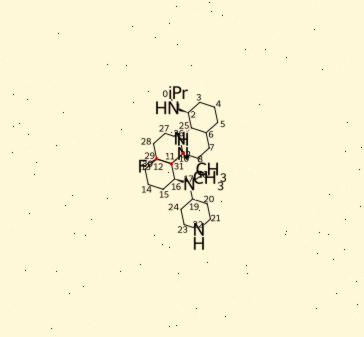 CC(C)N[C@H]1CCCC(CC(C)N[C@H]2CCCC[C@@H]2N(C)C2CCNCC2)[C@@H]1N1CCC(F)CC1